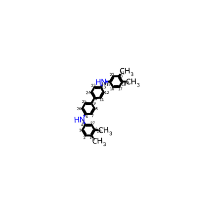 Cc1ccc(Nc2ccc(-c3ccc(Nc4ccc(C)c(C)c4)cc3)cc2)cc1C